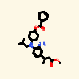 COC(=O)C[C@@H](C)c1ccc(N(CC(C)C)C2CCC(OC(=O)c3ccccc3)CC2)c(N)c1